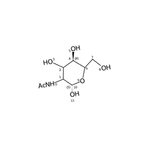 CC(=O)NC1C(O)[C@@H](O)C(CO)O[C@@H]1O